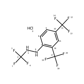 Cl.FC(F)(F)NNc1ccc(C(F)(F)F)cc1C(F)(F)F